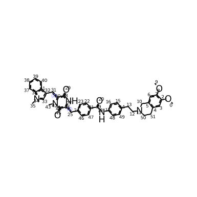 COc1cc2c(cc1OC)CN(CCc1ccc(NC(=O)c3ccc(/C=c4\[nH]c(=O)/c(=C/c5cn(C)c6ccccc56)n(C)c4=O)cc3)cc1)CC2